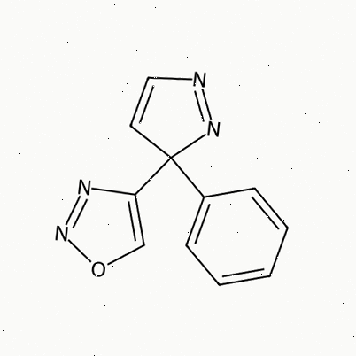 C1=CC(c2ccccc2)(c2conn2)N=N1